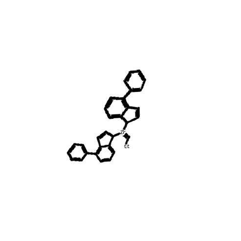 CC[CH]=[Zr]([CH]1C=Cc2c(-c3ccccc3)cccc21)[CH]1C=Cc2c(-c3ccccc3)cccc21